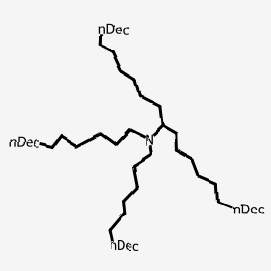 CCCCCCCCCCCCCCCCC(CCCCCCCCCCCCCCCC)N(CCCCCCCCCCCCCCCC)CCCCCCCCCCCCCCCC